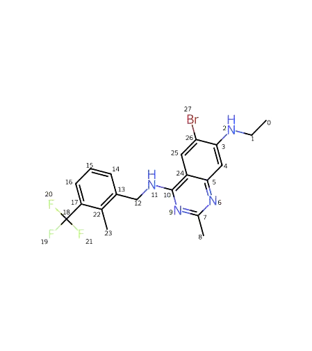 CCNc1cc2nc(C)nc(NCc3cccc(C(F)(F)F)c3C)c2cc1Br